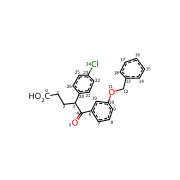 O=C(O)CCC(C(=O)c1cccc(OCc2ccccc2)c1)c1ccc(Cl)cc1